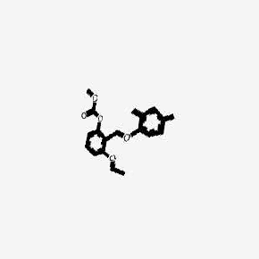 CCOc1cccc(OC(=O)OC)c1COc1ccc(C)cc1C